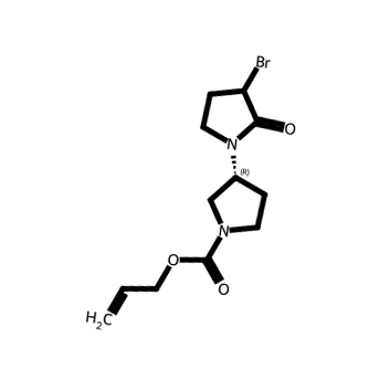 C=CCOC(=O)N1CC[C@@H](N2CCC(Br)C2=O)C1